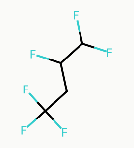 FC(F)C(F)CC(F)(F)F